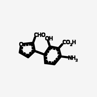 Nc1ccc(-c2ccoc2C=O)c(O)c1C(=O)O